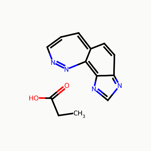 CCC(=O)O.c1cnnc2c(c1)ccc1ncnc12